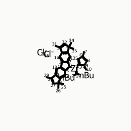 CCCC[C](CCCC)=[Zr+2]([C]1=CC(C)=CC1C)[CH]1c2cc3c(cc2-c2cc4c(cc21)C(C)(C)C=C4C)C(C)=CC3(C)C.[Cl-].[Cl-]